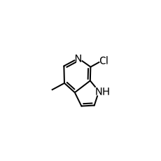 Cc1cnc(Cl)c2[nH]ccc12